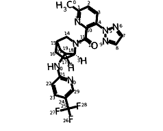 Cc1ccc(-n2nccn2)c(C(=O)N2CC3CC[C@H]2[C@H](Nc2ccc(C(F)(F)F)cn2)C3)n1